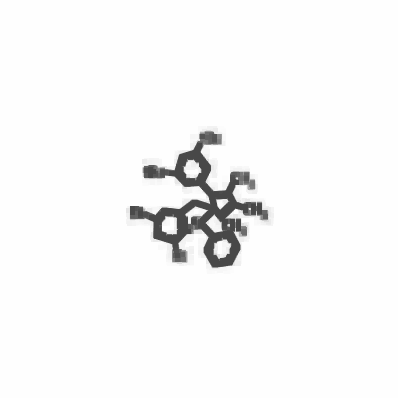 CCc1cc(CC)cc(CC2([SiH2]c3ccccc3)C(C)=C(C)C(C)=C2c2cc(C(C)(C)C)cc(C(C)(C)C)c2)c1